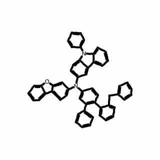 c1ccc(Cc2ccccc2-c2ccc(N(c3ccc4c(c3)oc3ccccc34)c3ccc4c(c3)c3ccccc3n4-c3ccccc3)cc2-c2ccccc2)cc1